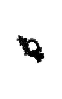 CC(C)(C)OC(=O)N[C@H]1CCCCC/C=C\[C@@H]2C[C@@]2(C(=O)NS(=O)(=O)CF)NC(=O)[C@@H]2CCCN2C1=O